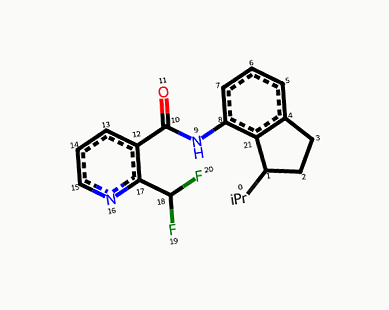 CC(C)C1CCc2cccc(NC(=O)c3cccnc3C(F)F)c21